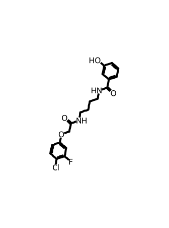 O=C(COc1ccc(Cl)c(F)c1)NCCCCNC(=O)c1cccc(O)c1